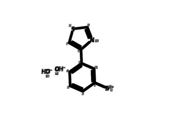 [B+2]c1cccc(-c2cscn2)c1.[OH-].[OH-]